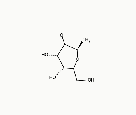 C[C@H]1OC(CO)[C@H](O)[C@H](O)C1O